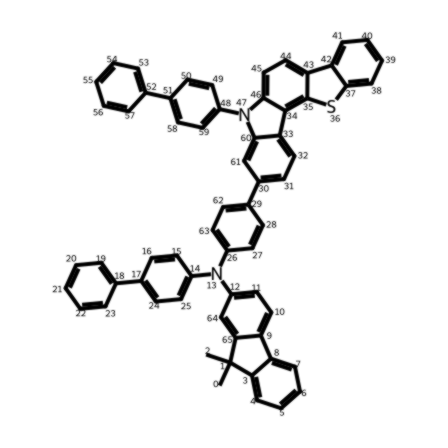 CC1(C)c2ccccc2-c2ccc(N(c3ccc(-c4ccccc4)cc3)c3ccc(-c4ccc5c6c7sc8ccccc8c7ccc6n(-c6ccc(-c7ccccc7)cc6)c5c4)cc3)cc21